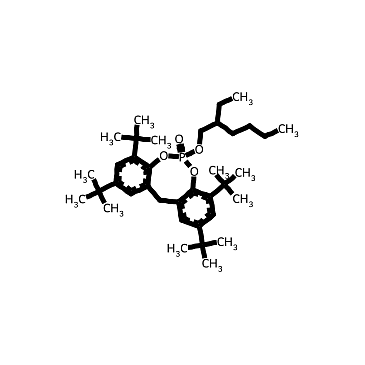 CCCCC(CC)COP1(=O)Oc2c(cc(C(C)(C)C)cc2C(C)(C)C)Cc2cc(C(C)(C)C)cc(C(C)(C)C)c2O1